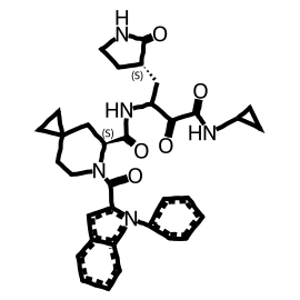 O=C(NC1CC1)C(=O)C(C[C@@H]1CCNC1=O)NC(=O)[C@@H]1CC2(CCN1C(=O)c1cc3ccccc3n1-c1ccccc1)CC2